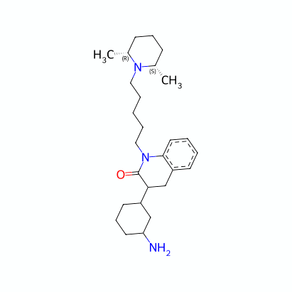 C[C@@H]1CCC[C@H](C)N1CCCCCN1C(=O)C(C2CCCC(N)C2)Cc2ccccc21